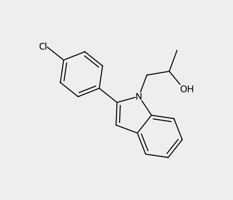 CC(O)Cn1c(-c2ccc(Cl)cc2)cc2ccccc21